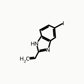 C=Cc1nc2cc(I)ccc2[nH]1